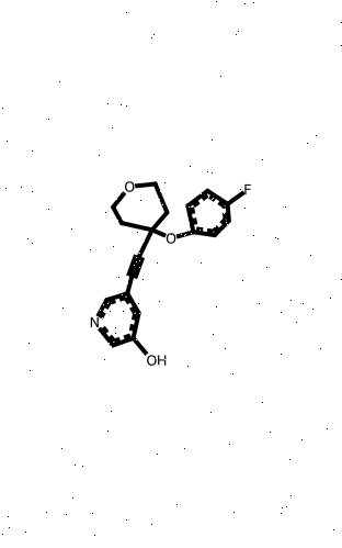 Oc1cncc(C#CC2(Oc3ccc(F)cc3)CCOCC2)c1